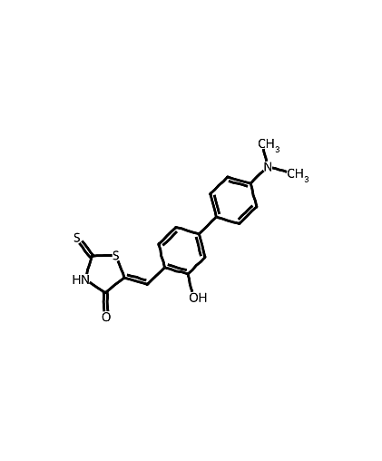 CN(C)c1ccc(-c2ccc(/C=C3\SC(=S)NC3=O)c(O)c2)cc1